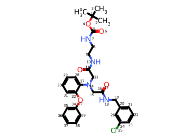 CC(C)(C)OC(=O)NCCNC(=O)CN(CC(=O)NCc1cccc(Cl)c1)c1ccccc1Oc1ccccc1